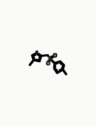 Cc1ccc(S(=O)(=O)Cc2cc(C)cs2)cc1